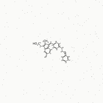 CC1=C(CC(=O)O)c2cc(F)ccc2/C1=C\c1ccc(CCOc2ccccc2)cc1